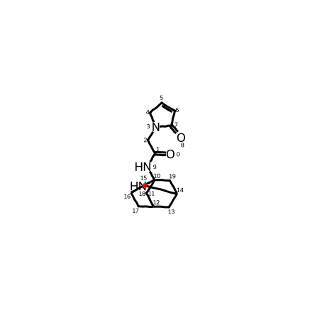 O=C(CN1CC=CC1=O)NC12CC3CC(CC(C3)N1)C2